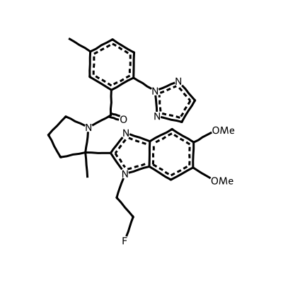 COc1cc2nc(C3(C)CCCN3C(=O)c3cc(C)ccc3-n3nccn3)n(CCF)c2cc1OC